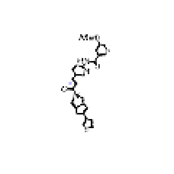 COc1cncc(C(=O)Nc2ccc(/C=C/C(=O)N3CC4C=C(c5ccsc5)CC4C3)cn2)c1